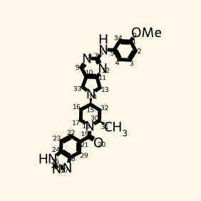 COc1cccc(Nc2ncc3c(n2)CN([C@@H]2CCN(C(=O)c4ccc5[nH]nnc5c4)[C@H](C)C2)C3)c1